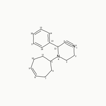 C1#[N+]CCN(C2CCC=CCC2)[C]1c1ccccc1